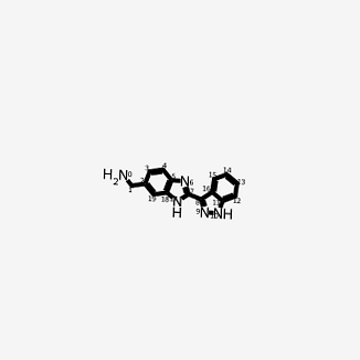 NCc1ccc2nc(-c3n[nH]c4ccccc34)[nH]c2c1